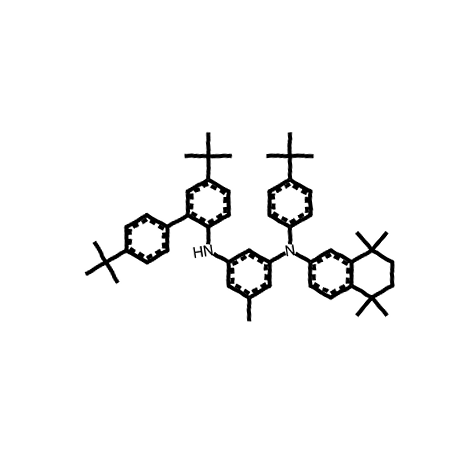 Cc1cc(Nc2ccc(C(C)(C)C)cc2-c2ccc(C(C)(C)C)cc2)cc(N(c2ccc(C(C)(C)C)cc2)c2ccc3c(c2)C(C)(C)CCC3(C)C)c1